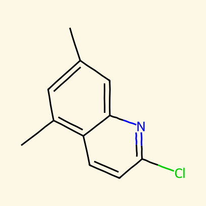 Cc1cc(C)c2ccc(Cl)nc2c1